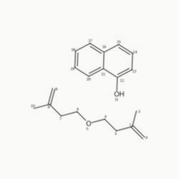 C=C(C)CCOCCC(=C)C.Oc1cccc2ccccc12